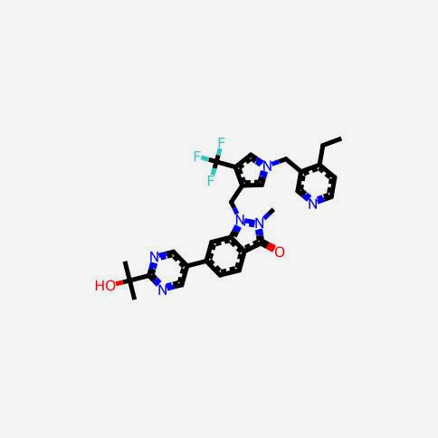 CCc1ccncc1Cn1cc(Cn2c3cc(-c4cnc(C(C)(C)O)nc4)ccc3c(=O)n2C)c(C(F)(F)F)c1